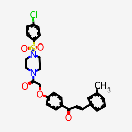 Cc1cccc(C=CC(=O)c2ccc(OCC(=O)N3CCN(S(=O)(=O)c4ccc(Cl)cc4)CC3)cc2)c1